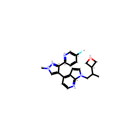 CC(Cn1ccc2c(-c3cn(C)nc3-c3ccc(F)cn3)ccnc21)C1COC1